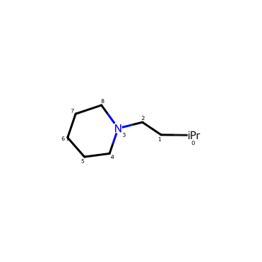 CC(C)CCN1CC[CH]CC1